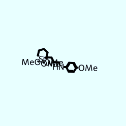 COc1ccc(NCCCC2(OC)CCCC[Si]2(OC)OC)cc1